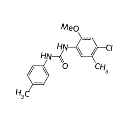 COc1cc(Cl)c(C)cc1NC(=O)Nc1ccc(C)cc1